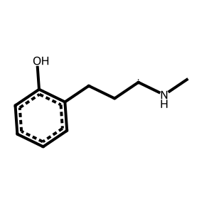 CN[CH]CCc1ccccc1O